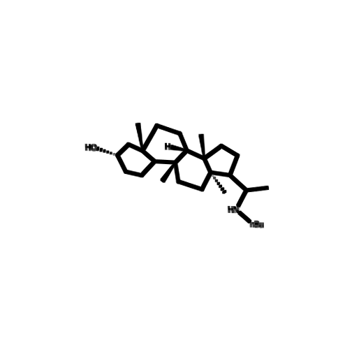 CCCCNC(C)C1CC[C@@]2(C)[C@H]3CC[C@@]4(C)C[C@@H](O)CCC4[C@@]3(C)CC[C@]12C